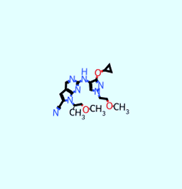 COCCn1cc(Nc2ncc3cc(C#N)n([C@@H](C)COC)c3n2)c(OC2CC2)n1